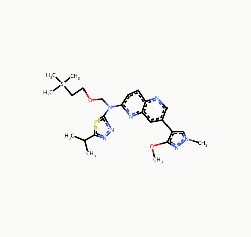 COc1nn(C)cc1-c1cnc2ccc(N(COCC[Si](C)(C)C)c3nnc(C(C)C)s3)nc2c1